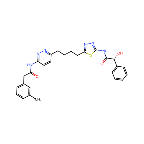 Cc1cccc(CC(=O)Nc2ccc(CCCCc3nnc(NC(=O)[C@H](O)c4ccccc4)s3)nn2)c1